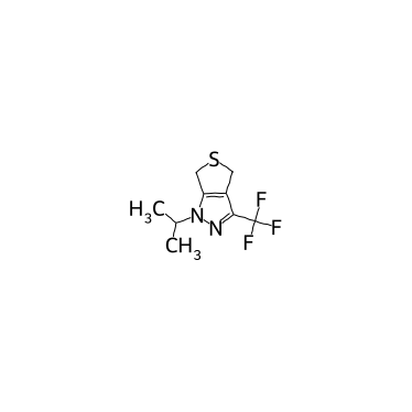 CC(C)n1nc(C(F)(F)F)c2c1CSC2